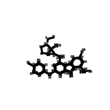 CC[C@H]1CCN2C(Nc3nc(Oc4cnc(C)nc4)nc4[nH]c5c(NC)cc(F)cc5c34)[C@@H]12